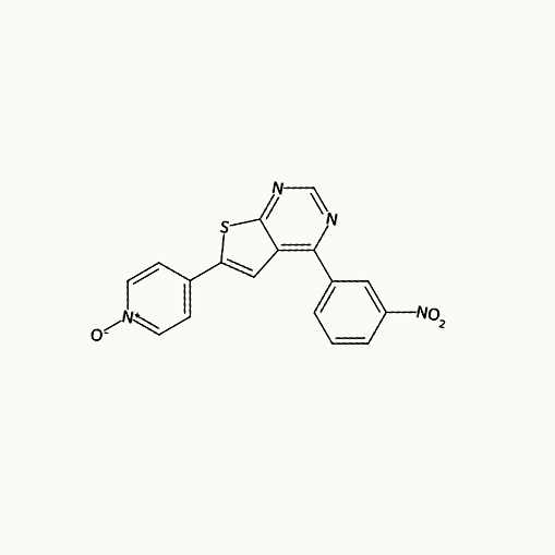 O=[N+]([O-])c1cccc(-c2ncnc3sc(-c4cc[n+]([O-])cc4)cc23)c1